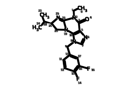 CCN1C(=O)c2ncn(Cc3ccc(F)c(F)c3)c2N2C[C@@H](C(C)C)N=C12